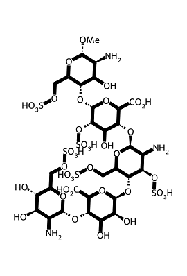 CO[C@H]1OC(COS(=O)(=O)O)[C@@H](O[C@@H]2OC(C(=O)O)[C@H](O[C@@H]3OC(COS(=O)(=O)O)[C@@H](O[C@@H]4OC(C(=O)O)[C@@H](O[C@H]5OC(COS(=O)(=O)O)[C@@H](O)[C@H](O)C5N)C(O)[C@@H]4O)[C@H](OS(=O)(=O)O)C3N)C(O)[C@@H]2OS(=O)(=O)O)C(O)[C@@H]1N